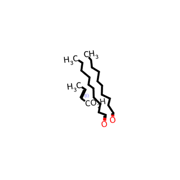 C/C=C/C(=O)O.CCCCCCCCCC=O.CCCCCCCCCC=O